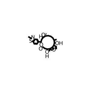 C=CC1C(=O)C(C)(C)[C@@H](O)CC(=O)OC(c2ccc3sc(C)nc3c2)C[C@@H]2O[C@]2(C)CCCC(C)C1O